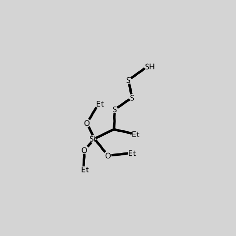 CCO[Si](OCC)(OCC)C(CC)SSSS